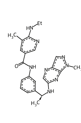 CCNc1ncc(C(=O)Nc2cccc([C@H](C)Nc3cnc4cnn(C)c4n3)c2)cc1C